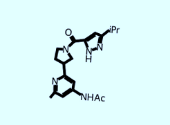 CC(=O)Nc1cc(C)nc(C2CCN(C(=O)c3cc(C(C)C)n[nH]3)C2)c1